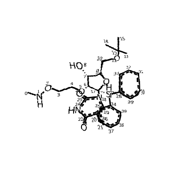 CNOCCO[C@@H]1[C@H](O)[C@@H](COC(C)(C)C)O[C@]1(n1cc(C)c(=O)[nH]c1=O)[SiH](c1ccccc1)c1ccccc1